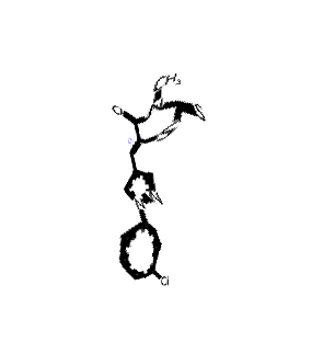 CN1C(=O)/C(=C/c2cnn(-c3cccc(Cl)c3)c2)SC1=S